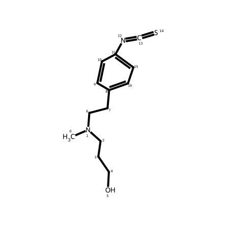 CN(CCCO)CCc1ccc(N=C=S)cc1